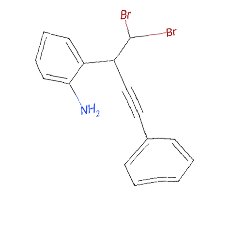 Nc1ccccc1C(C#Cc1ccccc1)C(Br)Br